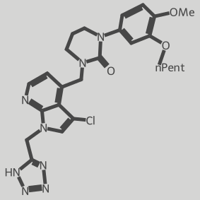 CCCCCOc1cc(N2CCCN(Cc3ccnc4c3c(Cl)cn4Cc3nnn[nH]3)C2=O)ccc1OC